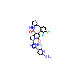 Nc1ccc(-c2cnc([C@H]3CCc4c5c(cc(=O)n43)-c3c(ccc(Cl)c3F)CC3(CCCC3)NC5=O)[nH]2)c(F)n1